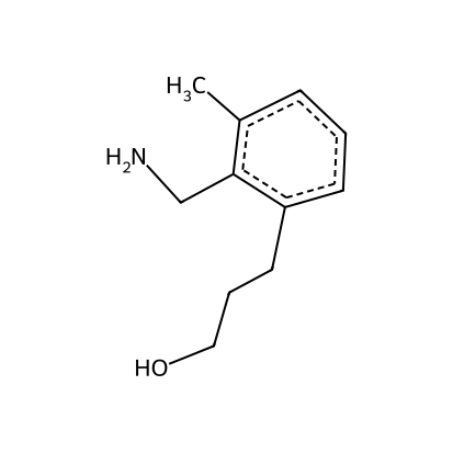 Cc1cccc(CCCO)c1CN